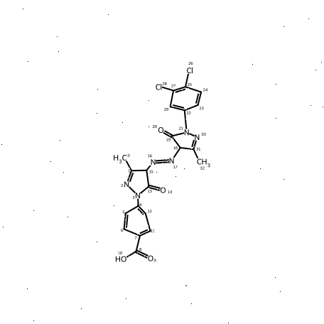 CC1=NN(c2ccc(C(=O)O)cc2)C(=O)C1N=NC1C(=O)N(c2ccc(Cl)c(Cl)c2)N=C1C